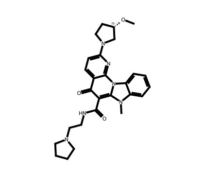 CO[C@H]1CCN(c2ccc3c(=O)c(C(=O)NCCN4CCCC4)c4n(C)c5ccccc5n4c3n2)C1